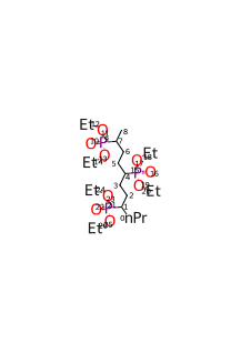 CCCC(CCC(CCC(C)P(=O)(OCC)OCC)P(=O)(OCC)OCC)P(=O)(OCC)OCC